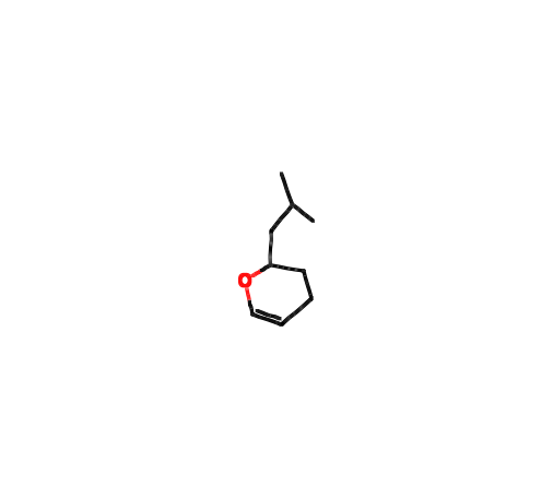 CC(C)CC1CCC=CO1